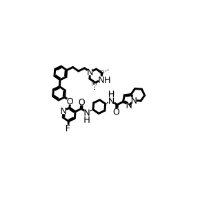 C[C@@H]1CN(CCCc2cccc(-c3cccc(Oc4ncc(F)cc4C(=O)N[C@H]4CC[C@@H](NC(=O)c5cc6n(n5)CCCC6)CC4)c3)c2)C[C@H](C)N1